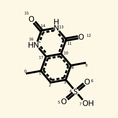 Cc1cc(S(=O)(=O)O)c(C)c2c(=O)[nH]c(=O)[nH]c12